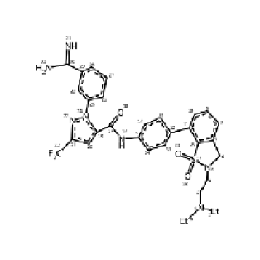 CCN(CC)CCN1Cc2cccc(-c3ccc(NC(=O)c4cc(C(F)(F)F)nn4-c4cccc(C(=N)N)c4)cc3)c2S1(=O)=O